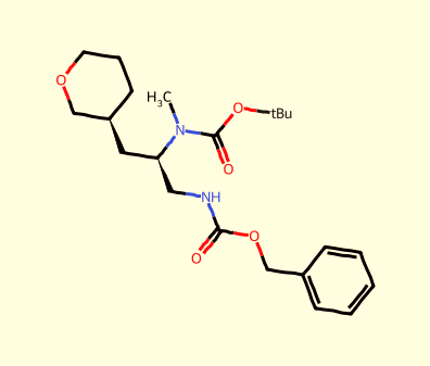 CN(C(=O)OC(C)(C)C)[C@@H](CNC(=O)OCc1ccccc1)C[C@@H]1CCCOC1